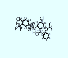 CC(C)Oc1ccccc1C(=O)c1ncc(Cl)cc1NS(=O)(=O)c1ccc(Cl)c(C(F)(F)F)c1